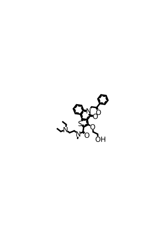 CCN(CC)CCN(C)C(=O)c1sc2c(c1OCCO)c(=O)n(CC(=O)c1ccccc1)c1ccccc21